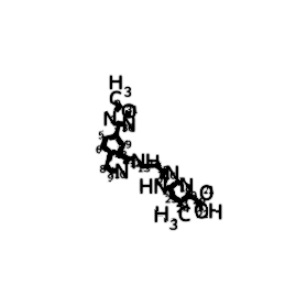 Cc1nc(-c2ccc3ccnc(NCCc4nc5nc(C(=O)O)c(C)cc5[nH]4)c3c2)no1